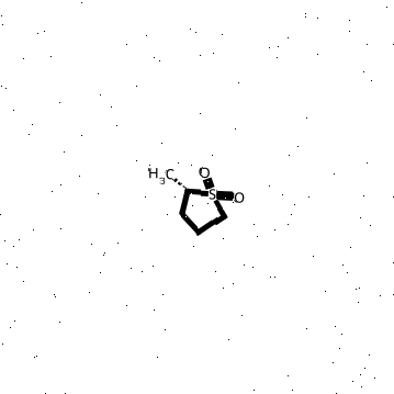 C[C@H]1CCCS1(=O)=O